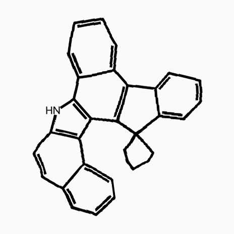 c1ccc2c(c1)-c1c(c3c([nH]c4ccc5ccccc5c43)c3ccccc13)C21CCCCC1